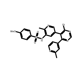 CCc1ncnc(-c2ccnc(C)c2)c1-c1cnc(C)c(NS(=O)(=O)c2ccc(OC)cc2)c1